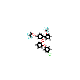 CC(OCc1ccc(-c2ccccc2OC(F)(F)F)c(Oc2ccccc2Oc2ccc(Cl)cc2)c1)C(F)(F)F